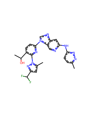 Cc1ccc(Nc2cc3ncn(-c4ccc(C(C)O)c(-n5nc(C(F)F)cc5C)n4)c3cn2)nn1